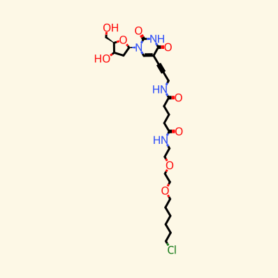 O=C(CCCC(=O)NCCOCCOCCCCCCCl)NCC#Cc1cn([C@H]2CC(O)[C@@H](CO)O2)c(=O)[nH]c1=O